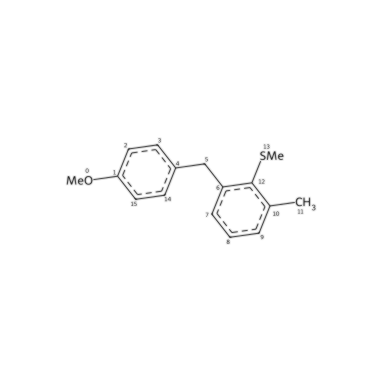 COc1ccc(Cc2cccc(C)c2SC)cc1